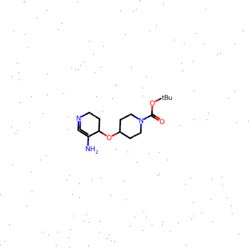 CC(C)(C)OC(=O)N1CCC(OC2CCN=C=C2N)CC1